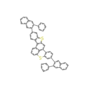 c1ccc(-c2cc3ccccc3cc2-c2ccc3c(c2)Sc2cccc4c2c-3cc2sc3cc(-c5cc6ccccc6cc5-c5ccccc5)ccc3c24)cc1